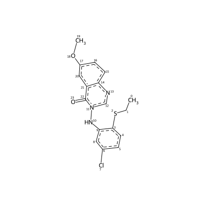 CCSc1ccc(Cl)cc1Nn1cnc2ccc(OC)cc2c1=O